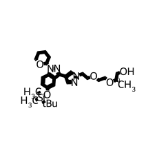 C[C@@H](CO)OCCOCCn1cc(-c2nn(C3CCCCO3)c3ccc(O[Si](C)(C)C(C)(C)C)cc23)cn1